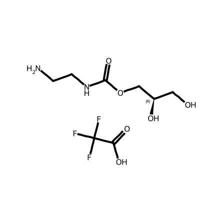 NCCNC(=O)OC[C@H](O)CO.O=C(O)C(F)(F)F